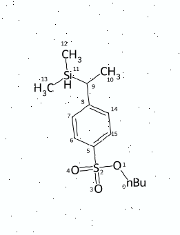 CCCCOS(=O)(=O)c1ccc(C(C)[SiH](C)C)cc1